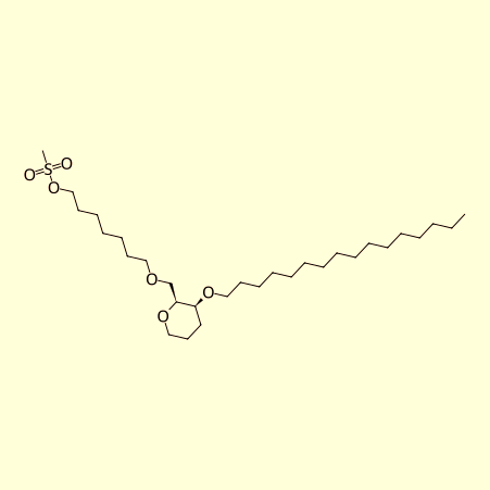 CCCCCCCCCCCCCCCCO[C@H]1CCCO[C@H]1COCCCCCCCOS(C)(=O)=O